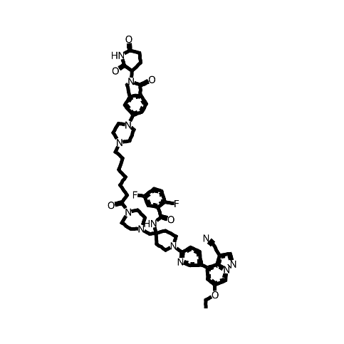 CCOc1cc(-c2ccc(N3CCC(CN4CCN(C(=O)CCCCCCN5CCN(c6ccc7c(c6)CN(C6CCC(=O)NC6=O)C7=O)CC5)CC4)(NC(=O)c4cc(F)ccc4F)CC3)nc2)c2c(C#N)cnn2c1